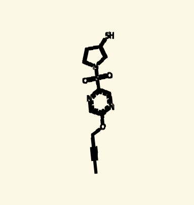 CC#CCOc1cnc(S(=O)(=O)N2CCC(S)C2)cn1